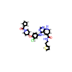 O=C(NCCc1cccs1)C1=Cc2c(ncnc2Nc2ccc(OC3CCN(C(=O)C4CCCC4)CC3)c(Cl)c2)NCC1